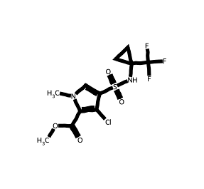 COC(=O)c1c(Cl)c(S(=O)(=O)NC2(C(F)(F)F)CC2)cn1C